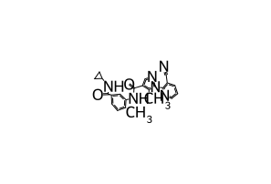 Cc1ccc(C(=O)NC2CC2)cc1NC(=O)c1cnn(-c2ncccc2C#N)c1C